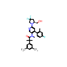 Cc1cc(F)ccc1-c1cc(N2CC(F)(F)C[C@H]2CO)ncc1N(C)C(=O)C(C)(C)c1cc(C(F)(F)F)cc(C(F)(F)F)c1